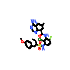 CCC(Cc1ccc(OC)cc1)S(=O)(=O)Nc1ccc(F)c(NC(=O)c2cc(C)cc3c(N)ncnc23)c1Cl